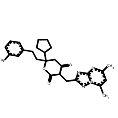 Cc1cc(C)n2nc(CC3C(=O)CC(CCc4cccc(C(C)C)c4)(C4CCCC4)OC3=O)nc2n1